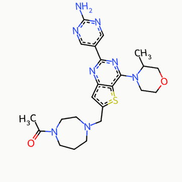 CC(=O)N1CCCN(Cc2cc3nc(-c4cnc(N)nc4)nc(N4CCOCC4C)c3s2)CC1